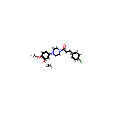 COc1ccc(N2CCN(C(=O)C[CH]c3ccc(Cl)cc3)CC2)cc1OC